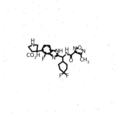 Cc1nonc1C(=O)NC(c1nc2c(F)c(C3(C(=O)O)CCNC3)ccc2[nH]1)C1CCC(F)(F)CC1